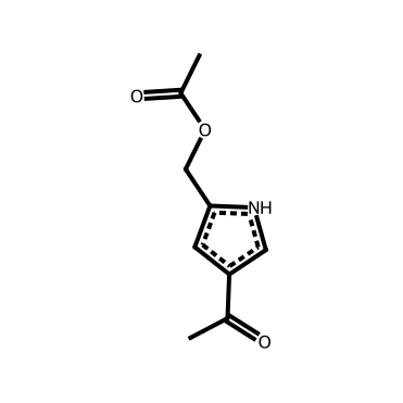 CC(=O)OCc1cc(C(C)=O)c[nH]1